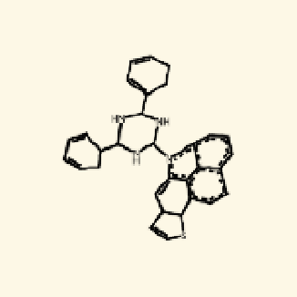 C1=CCCC(C2NC(C3C=CC=CC3)NC(n3c4c5c(ccc6cccc3c65)C3SC=CC3C=4)N2)=C1